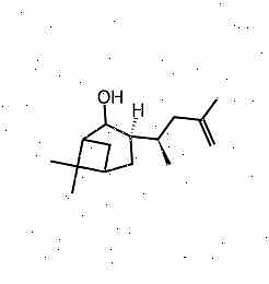 C=C(C)C[C@@H](C)[C@H]1CC2CC(C1O)C2(C)C